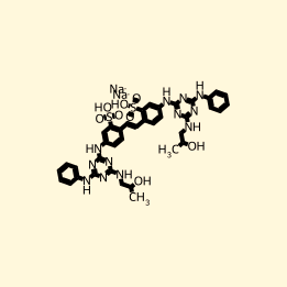 CC(O)CNc1nc(Nc2ccccc2)nc(Nc2ccc(C=Cc3ccc(Nc4nc(NCC(C)O)nc(Nc5ccccc5)n4)cc3S(=O)(=O)O)c(S(=O)(=O)O)c2)n1.[Na].[Na]